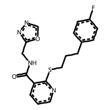 O=C(NCc1nnco1)c1cccnc1SCCCc1ccc(F)cc1